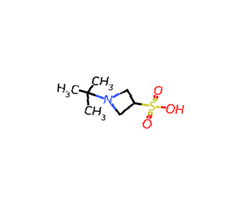 CC(C)(C)N1CC(S(=O)(=O)O)C1